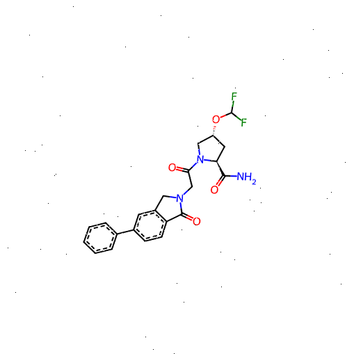 NC(=O)[C@@H]1C[C@@H](OC(F)F)CN1C(=O)CN1Cc2cc(-c3ccccc3)ccc2C1=O